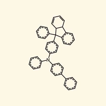 C1=CC2c3ccccc3C(c3ccccc3)(c3ccc(N(c4ccccc4)c4ccc(-c5ccccc5)cc4)cc3)C2C=C1